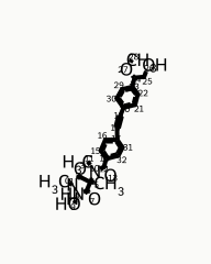 CNC(=O)C(C)(C(=O)NO)N(C)C(=O)c1ccc(C#Cc2ccc(C(CO)OC)cc2)cc1